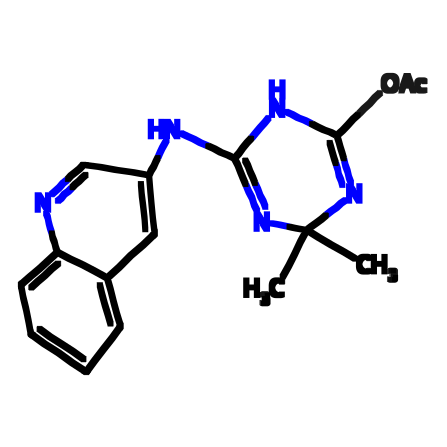 CC(=O)OC1=NC(C)(C)N=C(Nc2cnc3ccccc3c2)N1